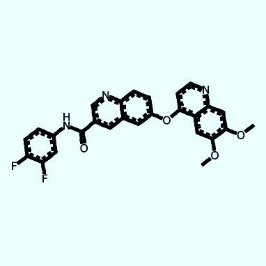 COc1cc2nccc(Oc3ccc4ncc(C(=O)Nc5ccc(F)c(F)c5)cc4c3)c2cc1OC